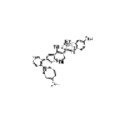 CCc1cc(O)ccc1/N=C(\N)c1cnn2cc(-c3cnccc3N3CCCC(N(C)C)CC3)cc2c1N